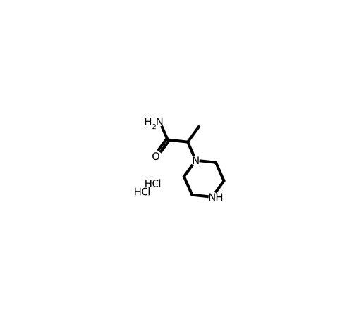 CC(C(N)=O)N1CCNCC1.Cl.Cl